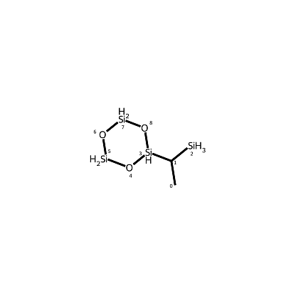 CC([SiH3])[SiH]1O[SiH2]O[SiH2]O1